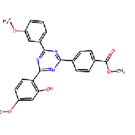 COC(=O)c1ccc(-c2nc(-c3cccc(OC)c3)nc(-c3ccc(OC)cc3O)n2)cc1